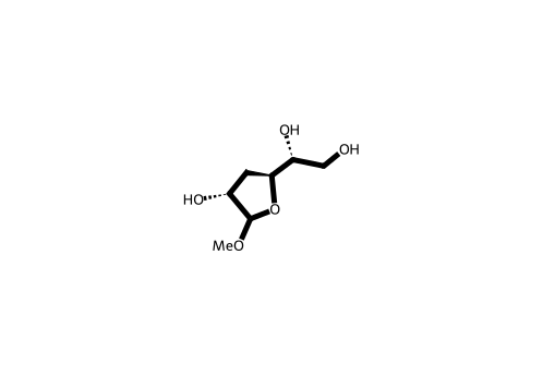 COC1O[C@H]([C@H](O)CO)[CH][C@H]1O